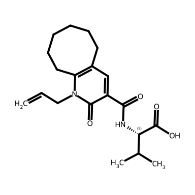 C=CCn1c2c(cc(C(=O)N[C@H](C(=O)O)C(C)C)c1=O)CCCCCC2